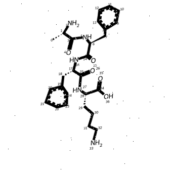 C[C@H](N)C(=O)N[C@@H](Cc1ccccc1)C(=O)N[C@@H](Cc1ccccc1)C(=O)N[C@@H](CCCCN)C(=O)O